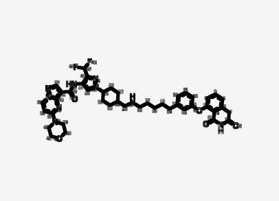 O=C1Cc2cccc(Oc3cccc(CCCCCNCC4CCC(n5cc(NC(=O)c6cnn7ccc(N8CCOCC8)nc67)c(C(F)F)n5)CC4)c3)c2C(=O)N1